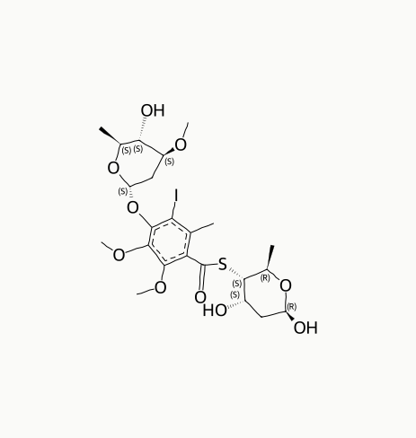 COc1c(O[C@H]2C[C@H](OC)[C@@H](O)[C@H](C)O2)c(I)c(C)c(C(=O)S[C@H]2[C@@H](O)C[C@H](O)O[C@@H]2C)c1OC